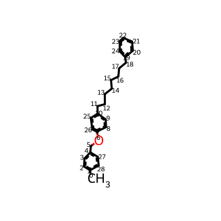 Cc1ccc(COc2ccc(CCCCCCCCc3ccccc3)cc2)cc1